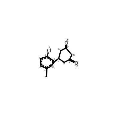 Cc1ccc(Cl)c(C2CC(=O)CC(=O)C2)c1